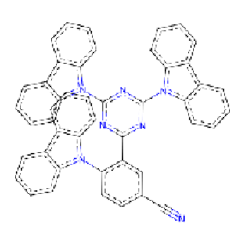 N#Cc1ccc(-n2c3ccccc3c3ccccc32)c(-c2nc(-n3c4ccccc4c4ccccc43)nc(-n3c4ccccc4c4ccccc43)n2)c1